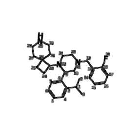 CC(C)c1ccccc1C1CN(Cc2ccccc2F)CCN1C1CCC12CCNCC2